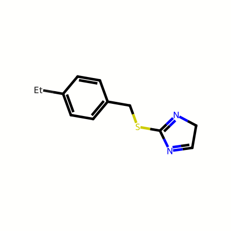 CCc1ccc(CSC2=NCC=N2)cc1